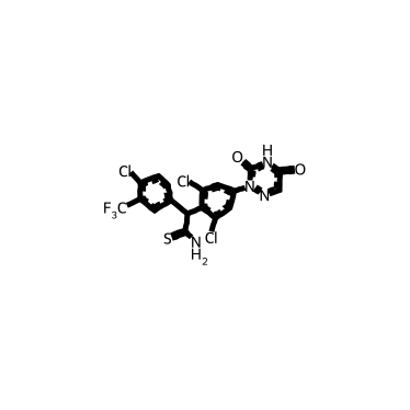 NC(=S)C(c1ccc(Cl)c(C(F)(F)F)c1)c1c(Cl)cc(-n2ncc(=O)[nH]c2=O)cc1Cl